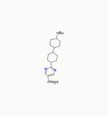 CCCCCCCc1cnc(C2CCC(C3CCC(CCCC)CC3)CC2)nc1